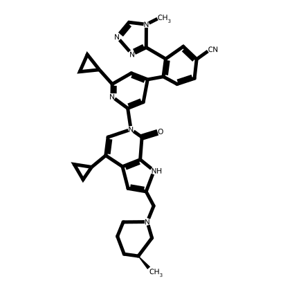 C[C@H]1CCCN(Cc2cc3c(C4CC4)cn(-c4cc(-c5ccc(C#N)cc5-c5nncn5C)cc(C5CC5)n4)c(=O)c3[nH]2)C1